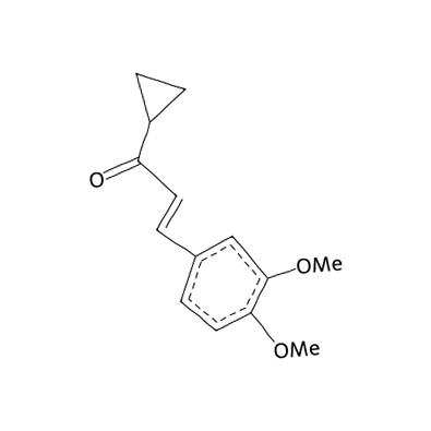 COc1ccc(C=CC(=O)C2CC2)cc1OC